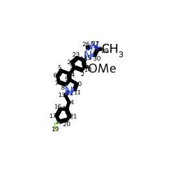 COc1cc(-c2cccc3c2ccn3CCc2ccc(F)cc2)ccc1-n1cnc(C)c1